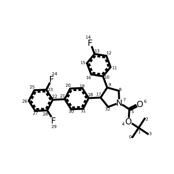 CC(C)(C)OC(=O)N1CC(c2ccc(F)cc2)C(c2ccc(-c3c(F)cccc3F)cc2)C1